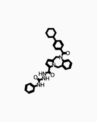 O=C(NNC(=O)c1ccc2n1Cc1ccccc1N(C(=O)c1ccc(C3CCCCC3)cc1)C2)Nc1ccccc1